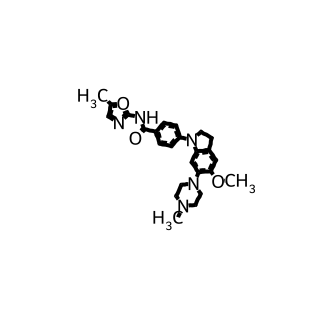 COc1cc2c(cc1N1CCN(C)CC1)N(c1ccc(C(=O)Nc3ncc(C)o3)cc1)CC2